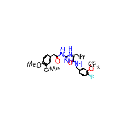 COc1ccc(CC(=O)NC(=N)N[C@H](CC(C)C)C(=O)NCc2ccc(F)c(OC(F)(F)F)c2)cc1OC